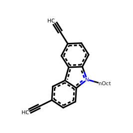 C#Cc1ccc2c(c1)c1cc(C#C)ccc1n2CCCCCCCC